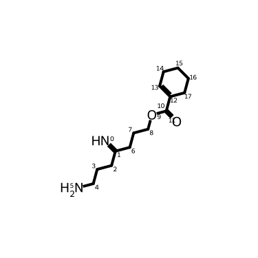 N=C(CCCN)CCCOC(=O)C1=CCCCC1